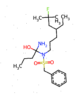 CCCC(N)(O)N(CCCC(CC)CC(C)(C)F)S(=O)(=O)Cc1ccccc1